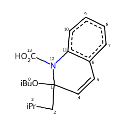 CC(C)COC1(CC(C)C)C=Cc2ccccc2N1C(=O)O